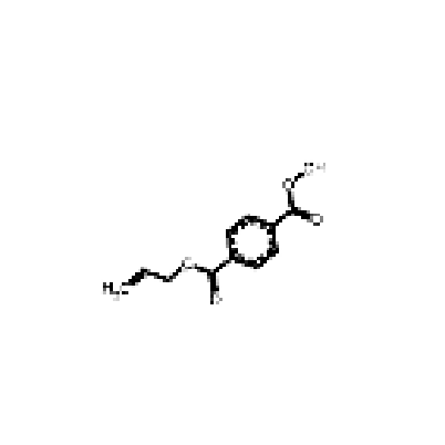 C=CCOC(=O)c1ccc(C(=O)OO)cc1